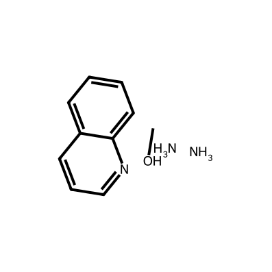 CO.N.N.c1ccc2ncccc2c1